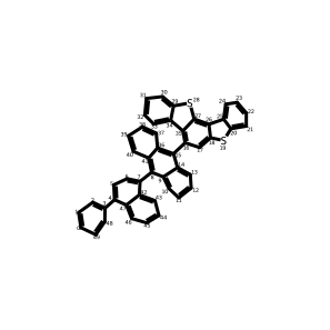 c1ccc(-c2ccc(-c3c4ccccc4c(-c4cc5sc6ccccc6c5c5sc6ccccc6c45)c4ccccc34)c3ccccc23)cc1